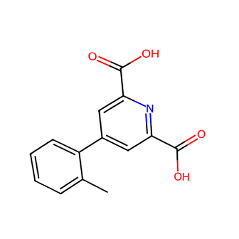 Cc1ccccc1-c1cc(C(=O)O)nc(C(=O)O)c1